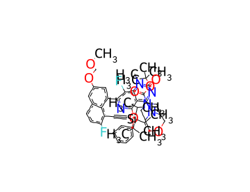 COCOc1cc(-c2nc(Oc3ccccc3)c3c(N4C5COCC4CN(C(=O)OC(C)(C)C)C5)nc(=O)n(C)c3c2F)c2c(C#C[Si](C(C)C)(C(C)C)C(C)C)c(F)ccc2c1